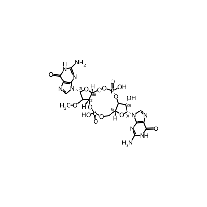 COC1[C@H]2OP(=O)(O)OC[C@H]3O[C@@H](n4cnc5c(=O)[nH]c(N)nc54)[C@@H](O)C3OP(=O)(O)OC[C@H]2O[C@H]1n1cnc2c(=O)[nH]c(N)nc21